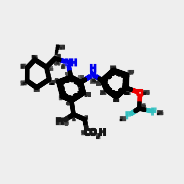 CCC(CC(=O)O)c1ccc(N[C@@H](C)C2CCCCC2)c(Nc2ccc(OC(F)F)cc2)c1